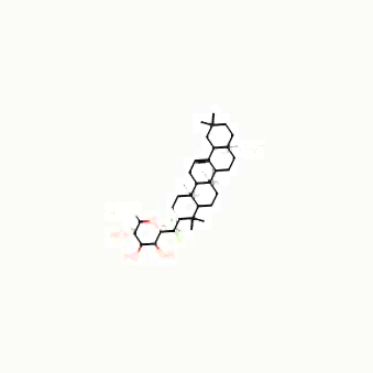 CC1(C)CC[C@]2(C(=O)O)CC[C@]3(C)C(=CCC4[C@@]5(C)CC[C@H]([C@@H](F)[C@@H]6OC(C(=O)O)[C@@H](O)C(O)C6O)C(C)(C)C5CC[C@]43C)C2C1